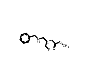 COC(=O)C[C@H](CF)CNCc1ccccc1